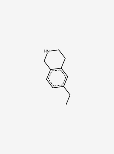 CCc1ccc2c(c1)C[CH]NC2